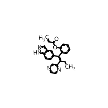 C=CC(=O)Oc1ccccc1/C(=C(\CC)c1cnccn1)c1ccc2[nH]ncc2c1